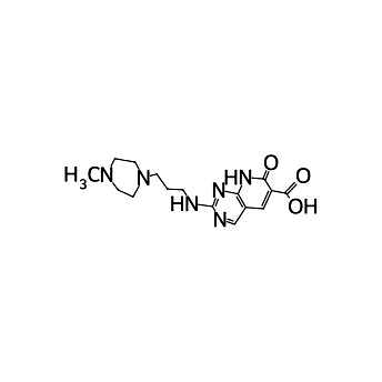 CN1CCN(CCCNc2ncc3cc(C(=O)O)c(=O)[nH]c3n2)CC1